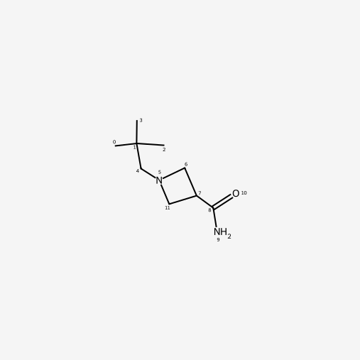 CC(C)(C)CN1CC(C(N)=O)C1